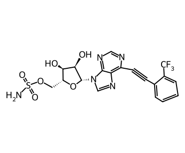 NS(=O)(=O)OC[C@H]1O[C@@H](n2cnc3c(C#Cc4ccccc4C(F)(F)F)ncnc32)[C@H](O)[C@@H]1O